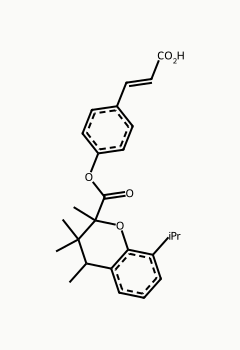 CC(C)c1cccc2c1OC(C)(C(=O)Oc1ccc(C=CC(=O)O)cc1)C(C)(C)C2C